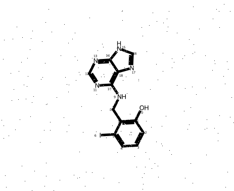 Oc1cccc(I)c1CNc1ncnc2[nH]cnc12